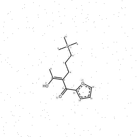 C/C(O)=C(\CCC[Si](C)(C)C)C(=O)c1ccco1